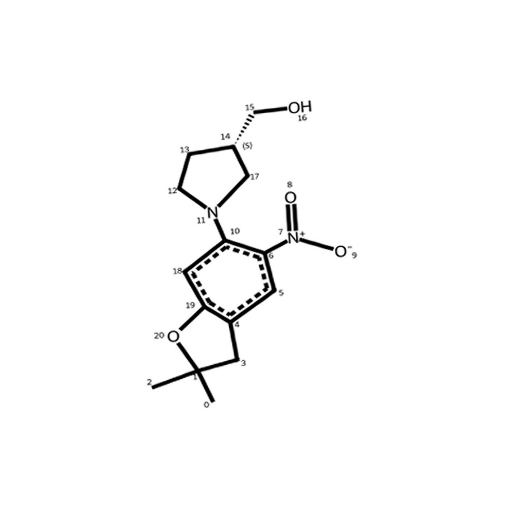 CC1(C)Cc2cc([N+](=O)[O-])c(N3CC[C@H](CO)C3)cc2O1